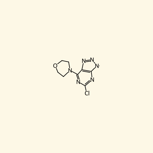 Clc1nc2c(c(N3CCOCC3)n1)N=N[N]2